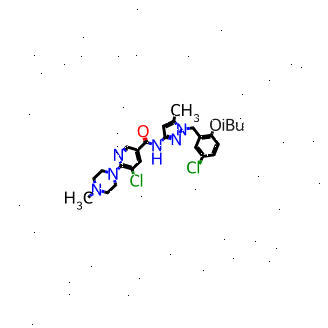 Cc1cc(NC(=O)c2cnc(N3CCN(C)CC3)c(Cl)c2)nn1Cc1cc(Cl)ccc1OCC(C)C